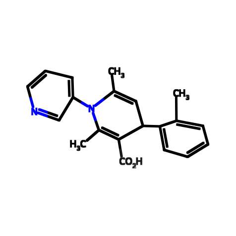 CC1=CC(c2ccccc2C)C(C(=O)O)=C(C)N1c1cccnc1